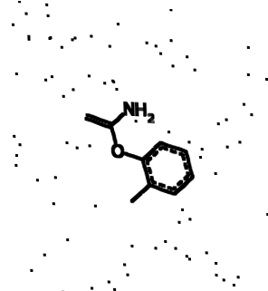 C=C(N)Oc1ccccc1C